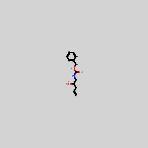 C=CCC(O)CNC(=O)OCc1ccccc1